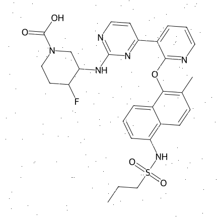 CCCS(=O)(=O)Nc1cccc2c(Oc3ncccc3-c3ccnc(NC4CN(C(=O)O)CCC4F)n3)c(C)ccc12